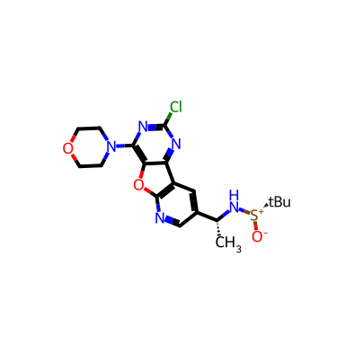 C[C@@H](N[S@@+]([O-])C(C)(C)C)c1cnc2oc3c(N4CCOCC4)nc(Cl)nc3c2c1